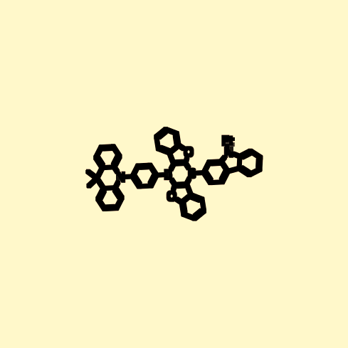 CCn1c2ccccc2c2ccc(B3c4oc5ccccc5c4B(c4ccc(N5c6ccccc6C(C)(C)c6ccccc65)cc4)c4oc5ccccc5c43)cc21